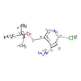 CC(C)(C)[Si](C)(C)OCc1cnc(Cl)cc1N